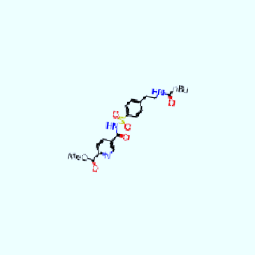 CCCCC(=O)NCCc1ccc(S(=O)(=O)NC(=O)c2ccc(C(=O)OC)nc2)cc1